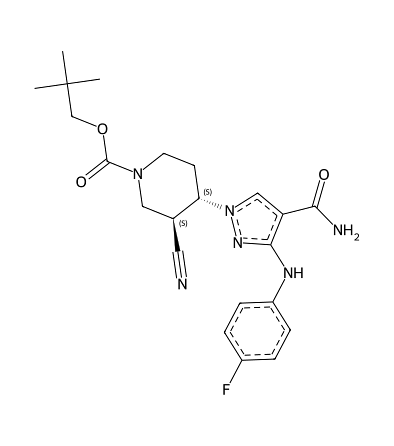 CC(C)(C)COC(=O)N1CC[C@H](n2cc(C(N)=O)c(Nc3ccc(F)cc3)n2)[C@@H](C#N)C1